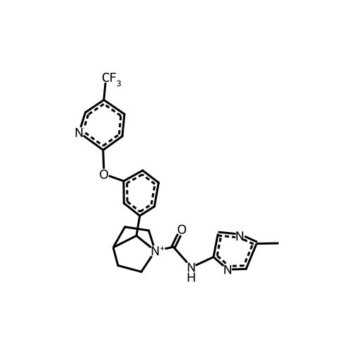 Cc1cnc(NC(=O)[N+]23CCC(CC2)C3c2cccc(Oc3ccc(C(F)(F)F)cn3)c2)cn1